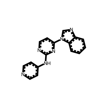 c1ccc2c(c1)ncn2-c1ccnc(Nc2ccncc2)n1